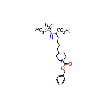 CCOC(=O)[C@@H](CCCCC1CCN(C(=O)OCc2ccccc2)CC1)N[C@@H](C)C(=O)O